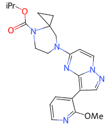 COc1ncccc1-c1cnn2ccc(N3CCN(C(=O)OC(C)C)C4(CC4)C3)nc12